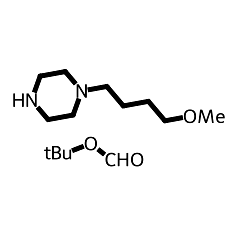 CC(C)(C)OC=O.COCCCCN1CCNCC1